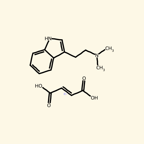 CN(C)CCc1c[nH]c2ccccc12.O=C(O)/C=C/C(=O)O